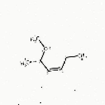 CC/C=C\[C@H](C)OC